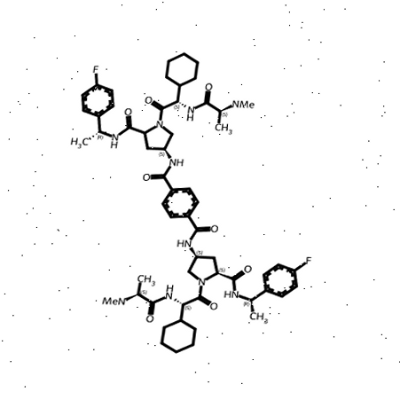 CN[C@@H](C)C(=O)N[C@H](C(=O)N1C[C@@H](NC(=O)c2ccc(C(=O)N[C@H]3C[C@@H](C(=O)N[C@H](C)c4ccc(F)cc4)N(C(=O)[C@@H](NC(=O)[C@H](C)NC)C4CCCCC4)C3)cc2)CC1C(=O)N[C@H](C)c1ccc(F)cc1)C1CCCCC1